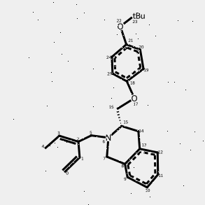 C=C/C(=C\C)CN1Cc2ccccc2C[C@H]1COc1ccc(OC(C)(C)C)cc1